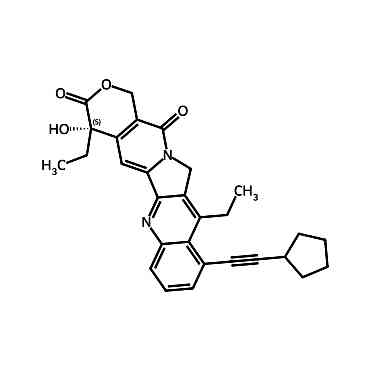 CCc1c2c(nc3cccc(C#CC4CCCC4)c13)-c1cc3c(c(=O)n1C2)COC(=O)[C@]3(O)CC